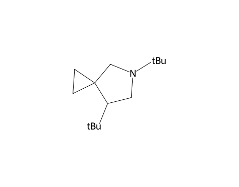 CC(C)(C)C1CN(C(C)(C)C)CC12CC2